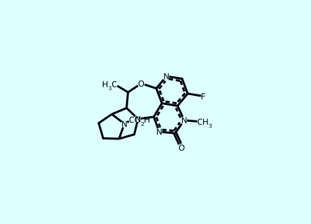 CC1Oc2ncc(F)c3c2c(nc(=O)n3C)N2CC3CCC(C12)N3C(=O)O